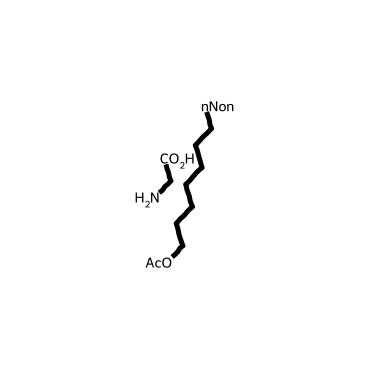 CCCCCCCCCCCCCCCCOC(C)=O.NCC(=O)O